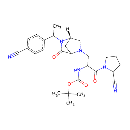 CC(c1ccc(C#N)cc1)N1C(=O)C2C[C@H]1CN2CC(NC(=O)OC(C)(C)C)C(=O)N1CCCC1C#N